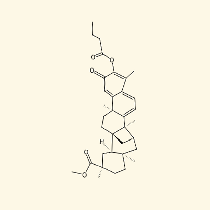 CCCC(=O)OC1=C(C)C2=CC=C3[C@@](C)(CC[C@@]4(CC)[C@@H]5C[C@](C)(C(=O)OC)CC[C@]5(C)CC[C@]34C)C2=CC1=O